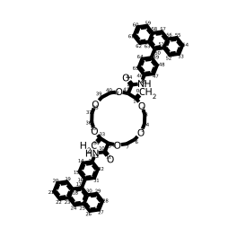 C=C1OCCOCCOC(C(=O)Nc2ccc(-c3c4ccccc4cc4ccccc34)cc2)C(=C)OCCOCCOC1C(=O)Nc1ccc(-c2c3ccccc3cc3ccccc23)cc1